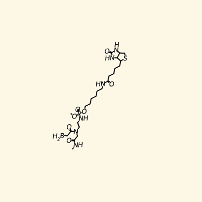 BCC(=O)N(CCNP(=O)(OC)OCCCCCCNC(=O)CCCCC1SCC2NC(=O)NC21)CC(=O)NC